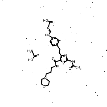 CC(=O)Nc1nc(CCc2ccc(NC=NC(=O)O)cc2)c(C(=O)NCCCN2CCOCC2)s1.NC(=O)O